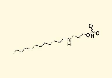 CCCCCCCCCCCCNCCCO[SH](=O)=O